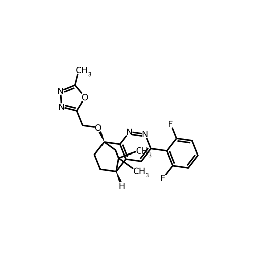 Cc1nnc(CO[C@@]23CC[C@@H](c4cc(-c5c(F)cccc5F)nnc42)C(C)(C)C3)o1